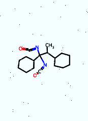 CC(C1CCCCC1)C(N=C=O)(N=C=O)C1CCCCC1